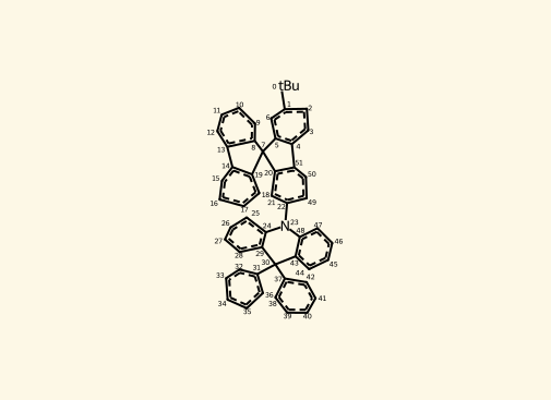 CC(C)(C)c1ccc2c(c1)C1(c3ccccc3-c3ccccc31)c1cc(N3c4ccccc4C(c4ccccc4)(c4ccccc4)c4ccccc43)ccc1-2